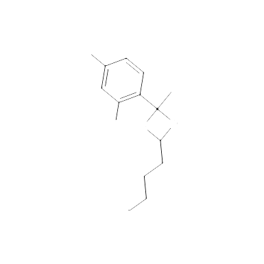 CC1(c2ccc(F)cc2F)OC(CCCCl)O1